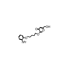 CCCc1ccccc1OCCCCCOc1coc(CO)cc1=O